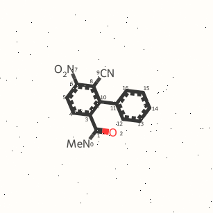 CNC(=O)c1ccc([N+](=O)[O-])c(C#N)c1-c1ccccc1